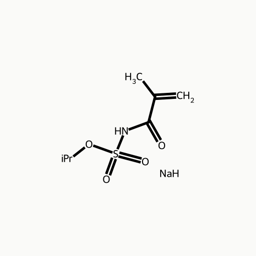 C=C(C)C(=O)NS(=O)(=O)OC(C)C.[NaH]